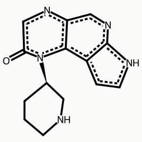 O=c1cnc2cnc3[nH]ccc3c2n1[C@@H]1CCCNC1